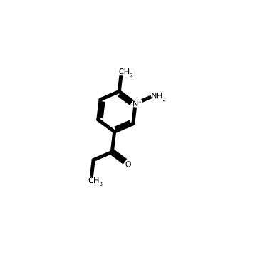 CCC(=O)c1ccc(C)[n+](N)c1